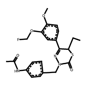 CCC1SC(=O)N(Cc2ccc(NC(C)=O)cc2)N=C1c1ccc(OC)c(OCF)c1